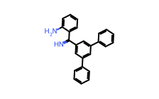 N=C(c1cc(-c2ccccc2)cc(-c2ccccc2)c1)c1ccccc1N